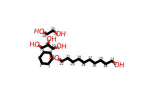 C1CCCCC1.OCC(O)CO.OCCCCCCCCCCO.OCCO